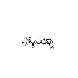 C=C(C)C(=O)OCC(O)C[N+]1=C(C(C)C)OCC1